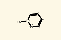 [O-][O+]1C=CC=CN1